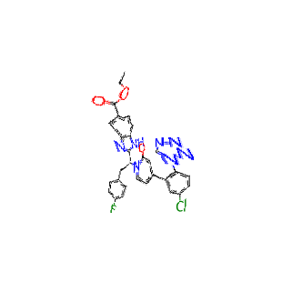 CCOC(=O)c1ccc2[nH]c([C@H](Cc3ccc(F)cc3)n3ccc(-c4cc(Cl)ccc4-n4cnnn4)cc3=O)nc2c1